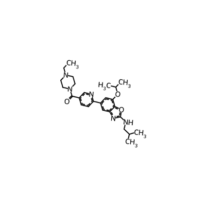 CCN1CCN(C(=O)c2ccc(-c3cc(OC(C)C)c4oc(NCC(C)C)nc4c3)nc2)CC1